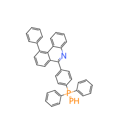 P=P(c1ccccc1)(c1ccccc1)c1ccc(-c2nc3ccccc3c3c(-c4ccccc4)cccc23)cc1